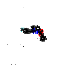 O=C(N[C@@H]1CCCC[C@H]1CN(CCCc1ccc(F)cc1)C1CC1)OCc1ccccc1